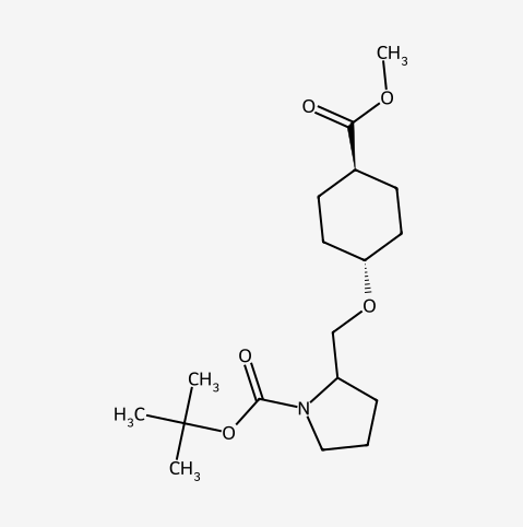 COC(=O)[C@H]1CC[C@H](OCC2CCCN2C(=O)OC(C)(C)C)CC1